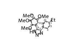 CCc1ccc(-c2nn[nH]c2-c2cc(OC)c(OC)c(OC)c2OC)cc1